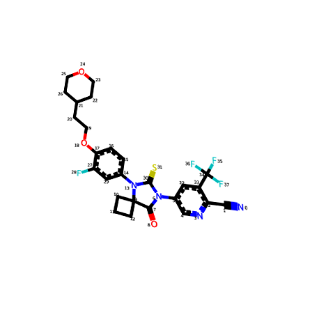 N#Cc1ncc(N2C(=O)C3(CCC3)N(c3ccc(OCCC4CCOCC4)c(F)c3)C2=S)cc1C(F)(F)F